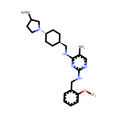 CC(=O)NC1CCN([C@H]2CC[C@H](CNc3nc(NCc4ccccc4OC(F)(F)F)ncc3[N+](=O)[O-])CC2)C1